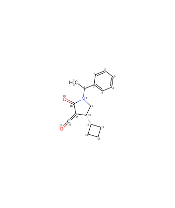 CC(c1ccccc1)N1C[C@H](C2CCC2)C(=C=O)C1=O